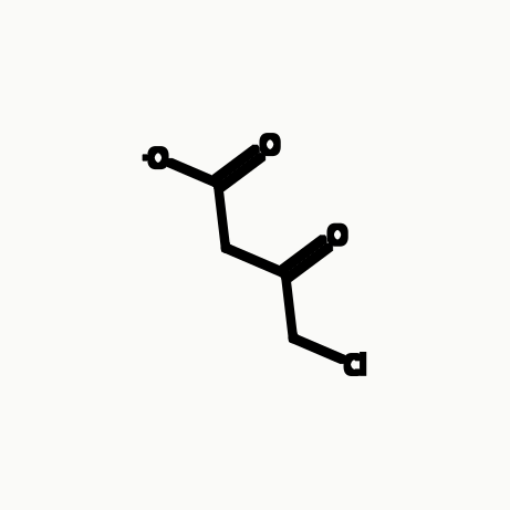 [O]C(=O)CC(=O)CCl